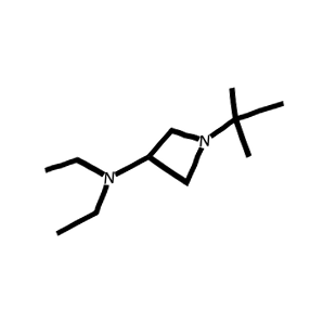 CCN(CC)C1CN(C(C)(C)C)C1